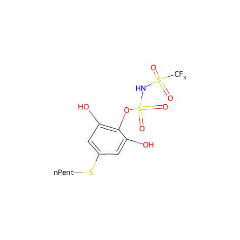 CCCCCSc1cc(O)c(OS(=O)(=O)NS(=O)(=O)C(F)(F)F)c(O)c1